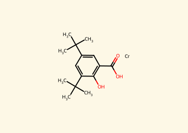 CC(C)(C)c1cc(C(=O)O)c(O)c(C(C)(C)C)c1.[Cr]